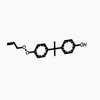 C=CCOOc1ccc(C(C)(C)c2ccc(O)cc2)cc1